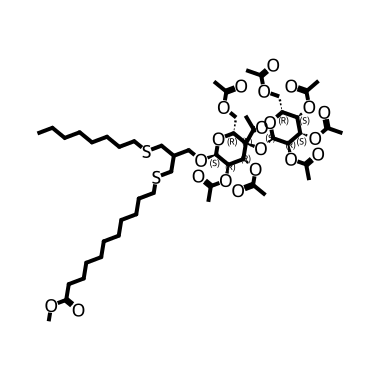 CCCCCCCCSCC(CO[C@H]1O[C@H](COC(C)=O)[C@](O[C@@H]2O[C@H](COC(C)=O)[C@H](OC(C)=O)[C@H](OC(C)=O)[C@H]2OC(C)=O)(C(C)=O)[C@H](OC(C)=O)[C@H]1OC(C)=O)CSCCCCCCCCCCC(=O)OC